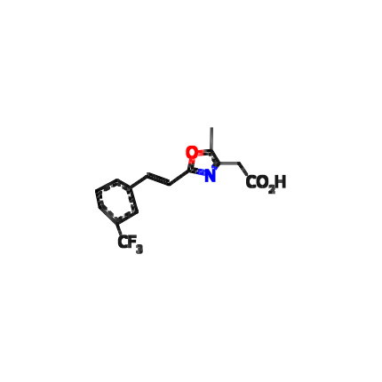 Cc1oc(/C=C/c2cccc(C(F)(F)F)c2)nc1CC(=O)O